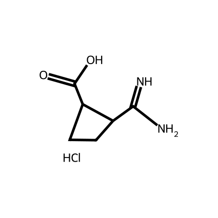 Cl.N=C(N)C1CCC1C(=O)O